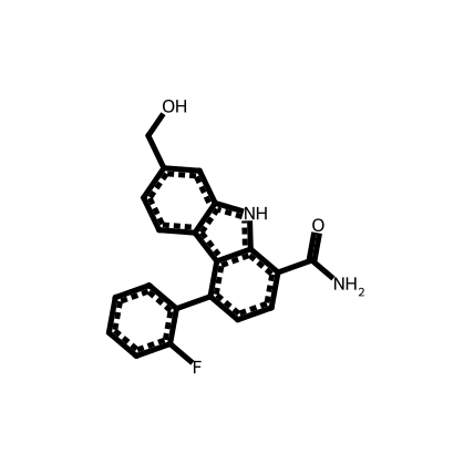 NC(=O)c1ccc(-c2ccccc2F)c2c1[nH]c1cc(CO)ccc12